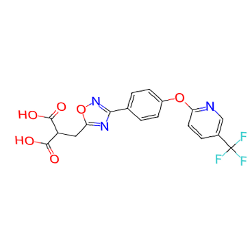 O=C(O)C(Cc1nc(-c2ccc(Oc3ccc(C(F)(F)F)cn3)cc2)no1)C(=O)O